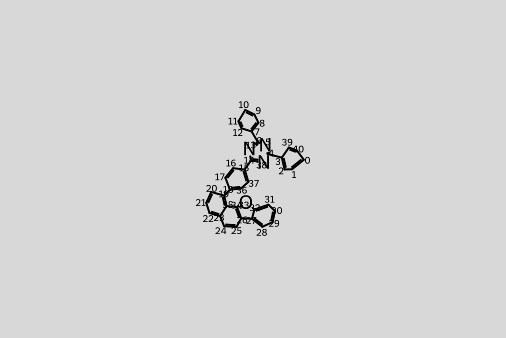 c1ccc(-c2nc(-c3ccccc3)nc(-c3ccc(-c4cccc5ccc6c7ccccc7oc6c45)cc3)n2)cc1